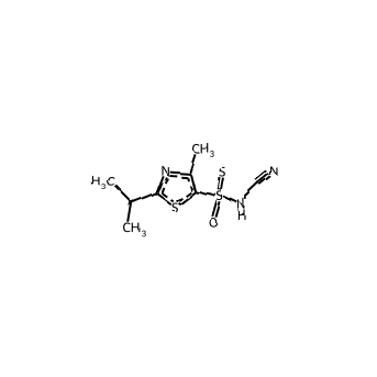 Cc1nc(C(C)C)sc1S(=O)(=S)NC#N